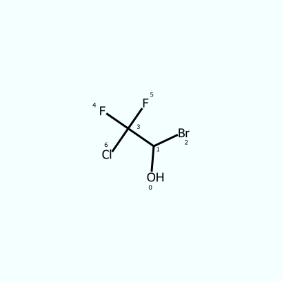 OC(Br)C(F)(F)Cl